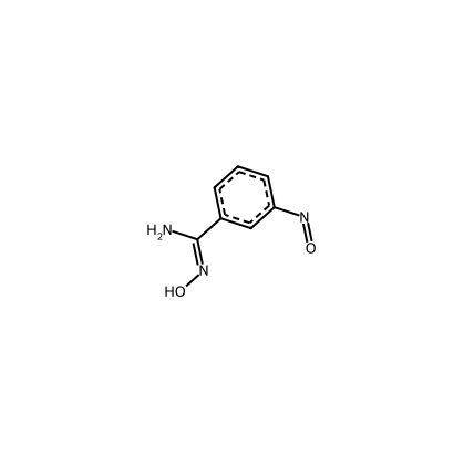 N/C(=N\O)c1cccc(N=O)c1